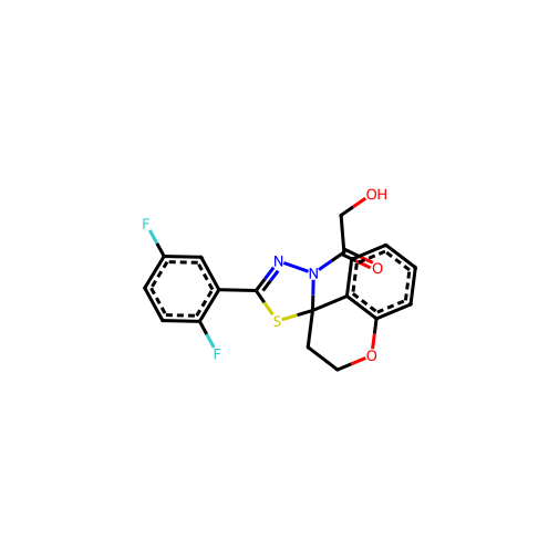 O=C(CO)N1N=C(c2cc(F)ccc2F)SC12CCOc1ccccc12